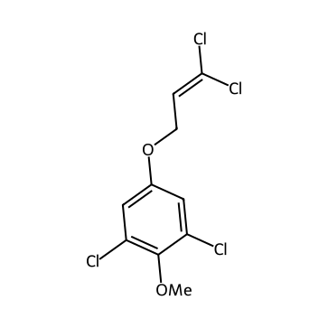 COc1c(Cl)cc(OCC=C(Cl)Cl)cc1Cl